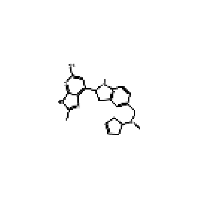 Cc1nc2c(C3Cc4cc(CN(C)C5CC=CC5)ccc4N3)cc(N)nc2[nH]1